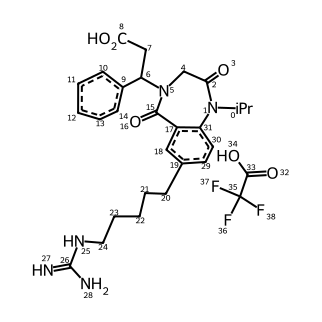 CC(C)N1C(=O)CN(C(CC(=O)O)c2ccccc2)C(=O)c2cc(CCCCCNC(=N)N)ccc21.O=C(O)C(F)(F)F